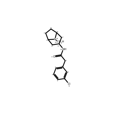 O=C(Cc1cccc(Cl)c1)NC1CC2CCC(C1)N2C(=O)O